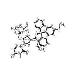 C=CC[C@H](OC(c1ccccc1)(c1ccccc1)c1ccc(OC)cc1)[C@H]1O[C@@H](n2ccc(=O)[nH]c2=O)[C@H](OC)[C@@H]1OP(=O)(O)OC